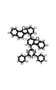 c1ccc(-c2nc(-c3ccccc3)nc(-c3ccc(-c4cccc5oc6c7ccccc7ccc6c45)c4oc5ccccc5c34)n2)cc1